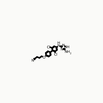 N#CCCCOc1ccc(-c2c(Cl)cc(Nc3n[nH]c(N)n3)cc2Cl)cc1